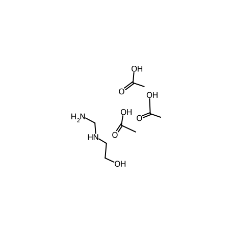 CC(=O)O.CC(=O)O.CC(=O)O.NCNCCO